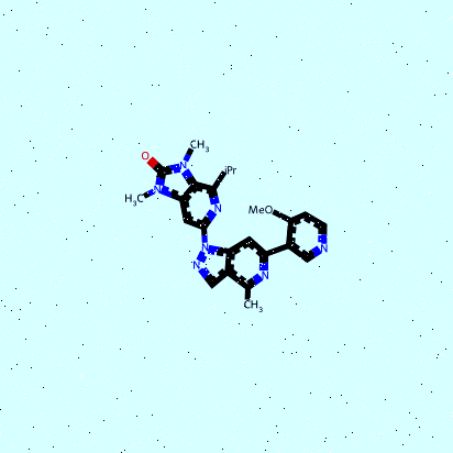 COc1ccncc1-c1cc2c(cnn2-c2cc3c(c(C(C)C)n2)n(C)c(=O)n3C)c(C)n1